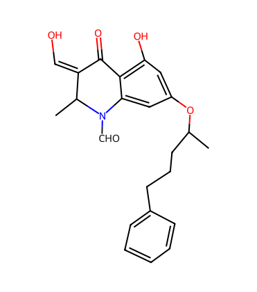 CC(CCCc1ccccc1)Oc1cc(O)c2c(c1)N(C=O)C(C)C(=CO)C2=O